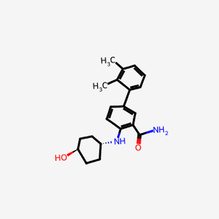 Cc1cccc(-c2ccc(N[C@H]3CC[C@H](O)CC3)c(C(N)=O)c2)c1C